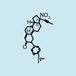 CC#C[C@]1([N+](=O)[O-])CC[C@H]2[C@@H]3CCC4=CC(=O)C(c5ccc(N(C)C)cc5)CC4=C3CC[C@@]21C